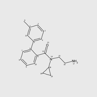 Cc1cccc(-c2ccccc2C(=O)N(CCN)C2CC2)c1